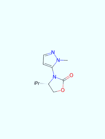 CC(C)[C@H]1COC(=O)N1c1ccnn1C